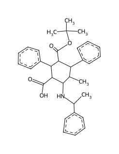 CC(NC1C(C)C(c2ccccc2)C(C(=O)OC(C)(C)C)C(c2ccccc2)C1C(=O)O)c1ccccc1